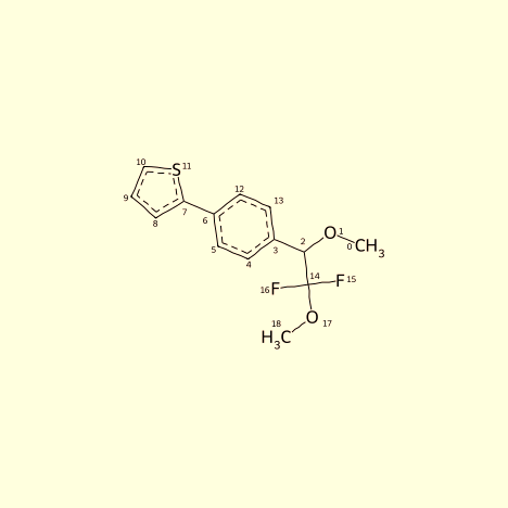 COC(c1ccc(-c2cccs2)cc1)C(F)(F)OC